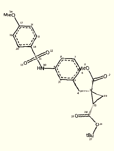 COC(=O)[C@@]1(Cc2cccc(NS(=O)(=O)c3ccc(OC)cc3)c2)C[C@@H]1C(=O)OC(C)(C)C